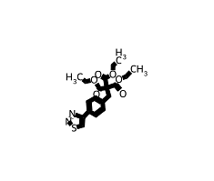 CCOC(=O)C(Cc1ccc(-c2csnn2)cc1)(C(=O)OCC)C(=O)OCC